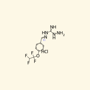 Cl.N=C(NN)N/N=C/c1ccc(OC(F)(F)C(F)F)cc1